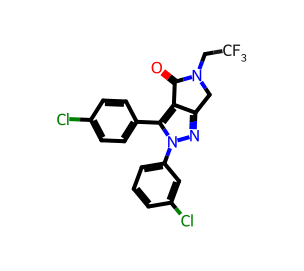 O=C1c2c(nn(-c3cccc(Cl)c3)c2-c2ccc(Cl)cc2)CN1CC(F)(F)F